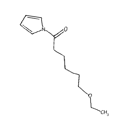 CCOCCCCCC(=O)n1cccc1